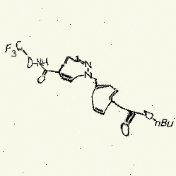 CCCCOC(=O)c1ccc(-n2cc(C(=O)NOC(F)(F)F)nn2)cc1